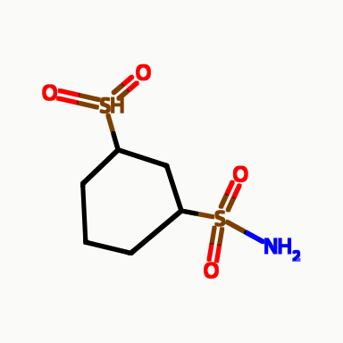 NS(=O)(=O)C1CCCC([SH](=O)=O)C1